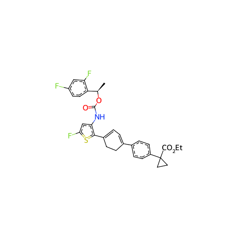 CCOC(=O)C1(c2ccc(C3=CC=C(c4sc(F)cc4NC(=O)O[C@H](C)c4ccc(F)cc4F)CC3)cc2)CC1